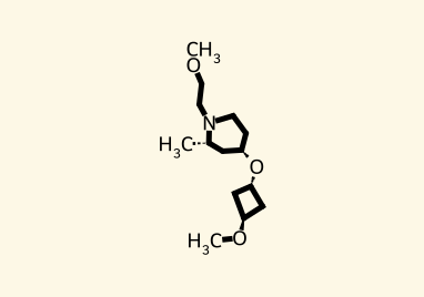 COCCN1CC[C@H](O[C@H]2C[C@H](OC)C2)C[C@@H]1C